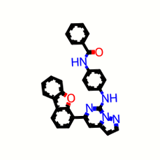 O=C(Nc1ccc(Nc2nc(-c3cccc4c3oc3ccccc34)cc3ccnn23)cc1)c1ccccc1